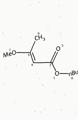 CCCCOC(=O)C=C(C)OC